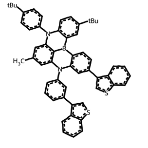 Cc1cc2c3c(c1)N(c1cccc(-c4csc5ccccc45)c1)c1cc(-c4csc5ccccc45)ccc1B3c1cc(C(C)(C)C)ccc1N2c1ccc(C(C)(C)C)cc1